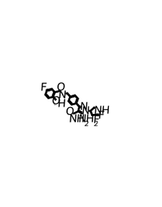 COc1ccc(F)cc1C(=O)NCc1ccc(-c2nn(C3CNC(F)(F)C3)c(N)c2C(N)=O)cc1